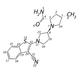 C[C@H]1C[C@@H](C(N)=O)N([C@H]2CCN(c3sc4ccccc4c3C#N)C2)C1